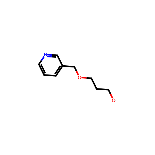 [O]CCCOCc1cccnc1